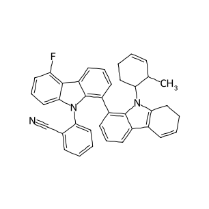 CC1C=CCCC1n1c2c(c3cccc(-c4cccc5c6c(F)cccc6n(-c6ccccc6C#N)c45)c31)C=CCC2